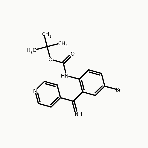 CC(C)(C)OC(=O)Nc1ccc(Br)cc1C(=N)c1ccncc1